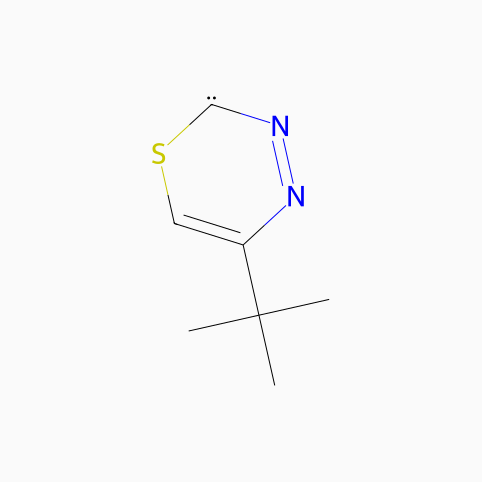 CC(C)(C)C1=CS[C]N=N1